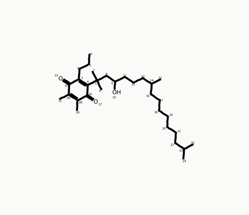 CCCC1=C(C(C)(C)CC(O)CCCC(C)CCCCCCCC(C)C)C(=O)C(C)=C(C)C1=O